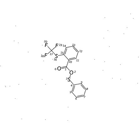 O=C(OSc1ccccc1)c1ccccc1SC(F)(F)F